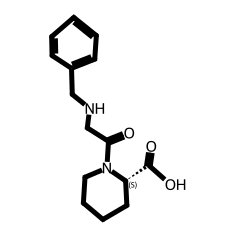 O=C(O)[C@@H]1CCCCN1C(=O)CNCc1ccccc1